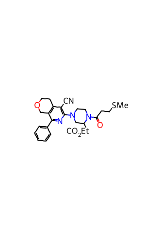 CCOC(=O)C1CN(c2nc(-c3ccccc3)c3c(c2C#N)CCOC3)CCN1C(=O)CCSC